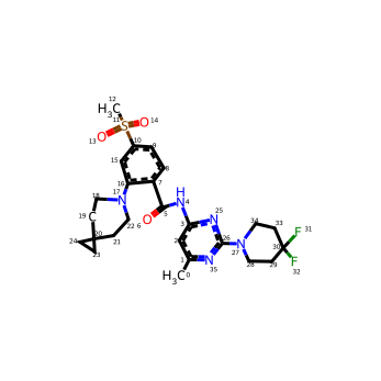 Cc1cc(NC(=O)c2ccc(S(C)(=O)=O)cc2N2CCC3(CC2)CC3)nc(N2CCC(F)(F)CC2)n1